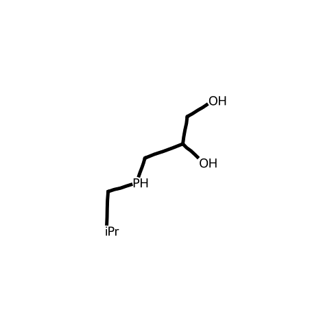 CC(C)CPCC(O)CO